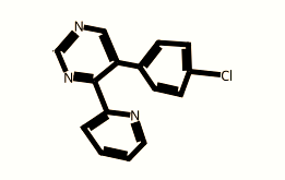 Clc1ccc(-c2cn[c]nc2-c2ccccn2)cc1